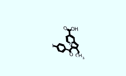 CCc1cc2cc(C(=O)O)ccn2c1C(=O)c1ccc(I)cc1